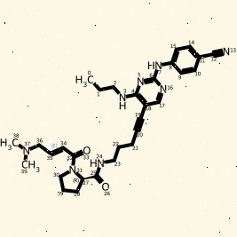 CCCNc1nc(Nc2ccc(C#N)cc2)ncc1C#CCCCNC(=O)[C@H]1CCCN1C(=O)/C=C/CN(C)C